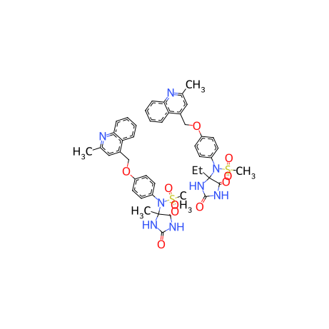 CCC1(N(c2ccc(OCc3cc(C)nc4ccccc34)cc2)S(C)(=O)=O)NC(=O)NC1=O.Cc1cc(COc2ccc(N(C3(C)NC(=O)NC3=O)S(C)(=O)=O)cc2)c2ccccc2n1